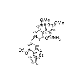 CCOc1cc(CN2CCC(c3c(C(N)=O)cc(OC)cc3C(=O)OC)CC2)cc(OCC)c1-n1cccc1